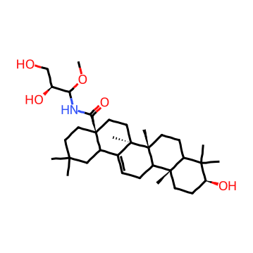 COC(NC(=O)[C@]12CCC(C)(C)CC1C1=CCC3[C@@]4(C)CC[C@H](O)C(C)(C)C4CC[C@@]3(C)[C@]1(C)CC2)[C@@H](O)CO